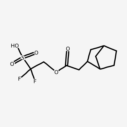 O=C(CC1CC2CCC1C2)OCC(F)(F)S(=O)(=O)O